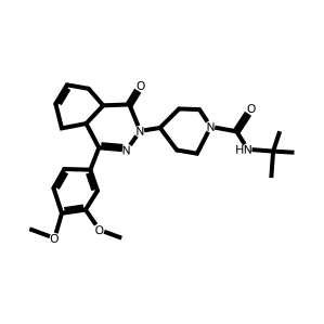 COc1ccc(C2=NN(C3CCN(C(=O)NC(C)(C)C)CC3)C(=O)C3CC=CCC23)cc1OC